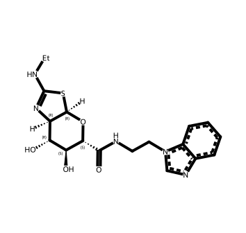 CCNC1=N[C@@H]2[C@@H](O)[C@H](O)[C@@H](C(=O)NCCn3cnc4ccccc43)O[C@@H]2S1